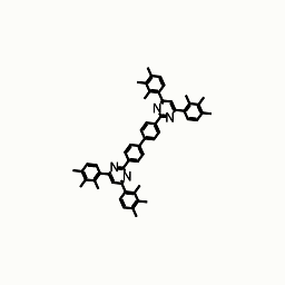 Cc1ccc(-c2cc(-c3ccc(C)c(C)c3C)nc(-c3ccc(-c4ccc(-c5nc(-c6ccc(C)c(C)c6C)cc(-c6ccc(C)c(C)c6C)n5)cc4)cc3)n2)c(C)c1C